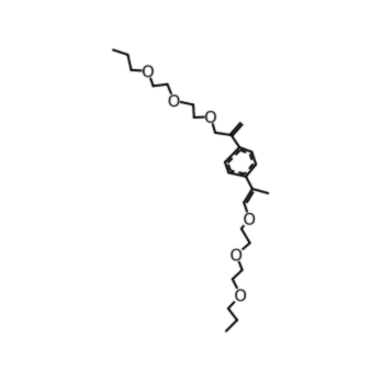 C=C(COCCOCCOCCC)c1ccc(/C(C)=C/OCCOCCOCCC)cc1